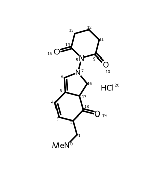 CNCC1C=CC2=CN(N3C(=O)CCCC3=O)CC2C1=O.Cl